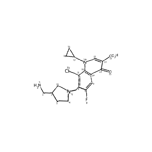 NCC1CCN(c2c(F)cc3c(=O)c(C(=O)O)cn(C4CC4)c3c2Cl)C1